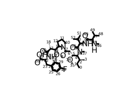 CC[C@H](C)[C@@H]([C@@H](CC(=O)N1CCCC1[C@H](OC)[C@@H](C)C(=O)NC(Cc1ccc(F)cc1)C(=O)O)OC)N(C)C(=O)C(NC(=O)C(NC)C(C)C)C(C)C